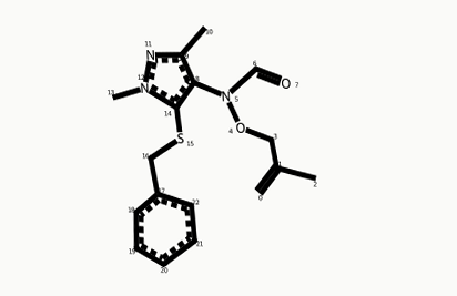 C=C(C)CON(C=O)c1c(C)nn(C)c1SCc1ccccc1